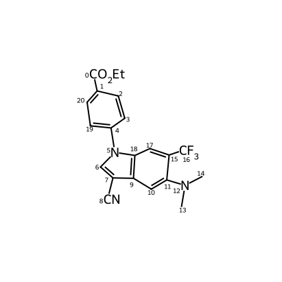 CCOC(=O)c1ccc(-n2cc(C#N)c3cc(N(C)C)c(C(F)(F)F)cc32)cc1